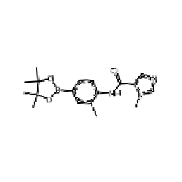 Cc1cc(B2OC(C)(C)C(C)(C)O2)ccc1NC(=O)c1cncn1C